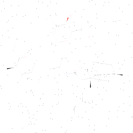 CCCCCC[C@]1(CC(=O)NC(CO[C@H]2OC(CO)[C@H](C)C(O)[C@H]2O)CO[C@H]2OC(CO)[C@H](O)C(O)[C@H]2O)C2C[C@@H]3C[C@H](C2)C[C@@H]1C3